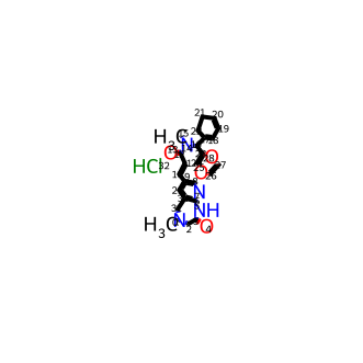 CN1CC(=O)Nc2ncc(/C=C/C(=O)N(C)C(C3=CC=CCC3)C3=COC=CO3)cc2C1.Cl